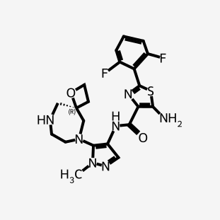 Cn1ncc(NC(=O)c2nc(-c3c(F)cccc3F)sc2N)c1N1CCNC[C@]2(CCO2)C1